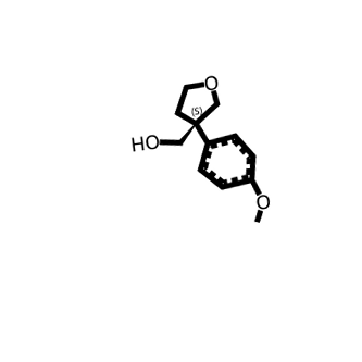 COc1ccc([C@]2(CO)CCOC2)cc1